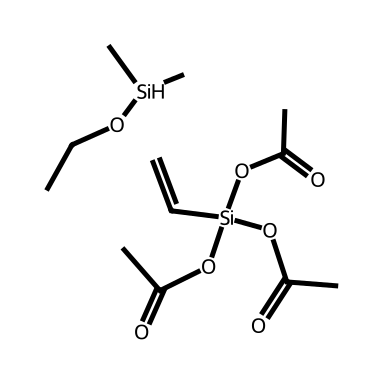 C=C[Si](OC(C)=O)(OC(C)=O)OC(C)=O.CCO[SiH](C)C